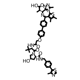 Cc1ncsc1-c1ccc(CNC(=O)[C@@H]2C[C@@H](O)CN2C(=O)[C@@H](NC(=O)COc2ccc(-c3ccc(C4=N[C@@H](C(C)C(=O)O)c5nnc(C)n5-c5sc(C)c(C)c54)cc3)cc2)C(C)(C)C)cc1